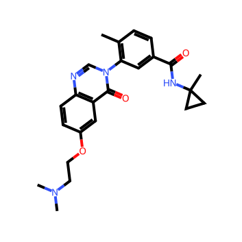 Cc1ccc(C(=O)NC2(C)CC2)cc1-n1cnc2ccc(OCCN(C)C)cc2c1=O